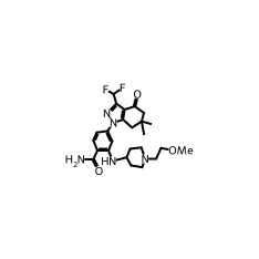 COCCN1CCC(Nc2cc(-n3nc(C(F)F)c4c3CC(C)(C)CC4=O)ccc2C(N)=O)CC1